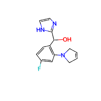 OC(c1ncc[nH]1)c1ccc(F)cc1N1CC=CC1